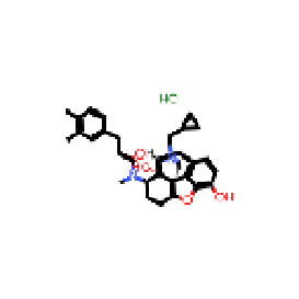 Cc1ccc(CCC(=O)N(C)C2CCC3Oc4c(O)ccc5c4[C@@]34CCN(CC3CC3)[C@H](C5)[C@]24O)cc1C.Cl